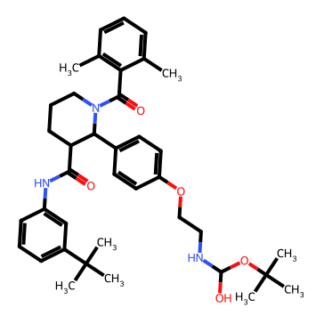 Cc1cccc(C)c1C(=O)N1CCCC(C(=O)Nc2cccc(C(C)(C)C)c2)C1c1ccc(OCCNC(O)OC(C)(C)C)cc1